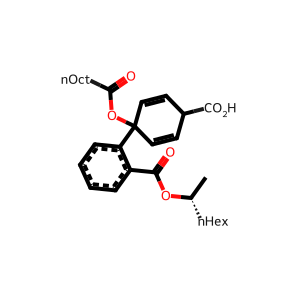 CCCCCCCCC(=O)OC1(c2ccccc2C(=O)O[C@H](C)CCCCCC)C=CC(C(=O)O)C=C1